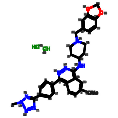 COc1ccc2c(-c3ccc(-c4nnn(C)n4)cc3)nnc(NC3CCN(Cc4ccc5c(c4)OCO5)CC3)c2c1.Cl.Cl